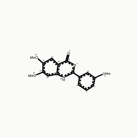 COc1cccc(-c2nc(=O)c3cc(OC)c(OC)cc3[nH]2)c1